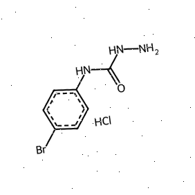 Cl.NNC(=O)Nc1ccc(Br)cc1